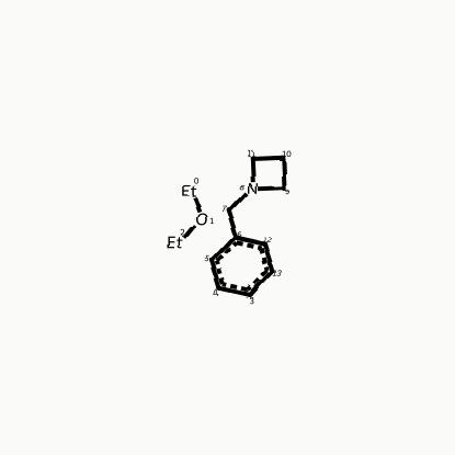 CCOCC.c1ccc(CN2CCC2)cc1